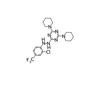 FC(F)(F)c1ccc(NNc2nc(N3CCCCC3)nc(N3CCCCC3)n2)c(Cl)c1